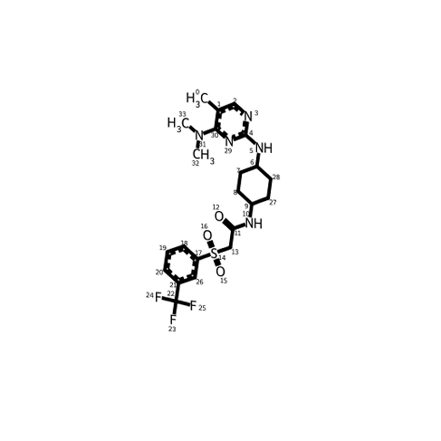 Cc1cnc(NC2CCC(NC(=O)CS(=O)(=O)c3cccc(C(F)(F)F)c3)CC2)nc1N(C)C